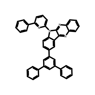 c1ccc(-c2cc(-c3ccccc3)cc(-c3ccc4c(c3)c3nc5ccccc5nc3n4-c3cccc(-c4ccccc4)n3)c2)cc1